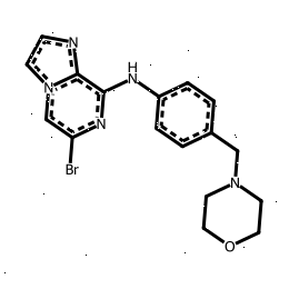 Brc1cn2ccnc2c(Nc2ccc(CN3CCOCC3)cc2)n1